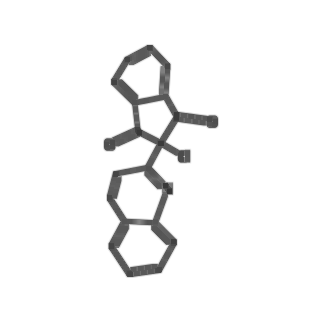 O=C1c2ccccc2C(=O)C1(Cl)c1ccc2ccccc2n1